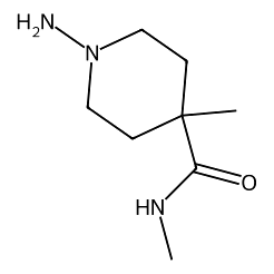 CNC(=O)C1(C)CCN(N)CC1